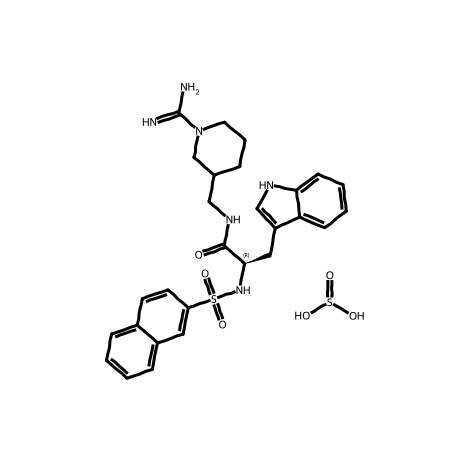 N=C(N)N1CCCC(CNC(=O)[C@@H](Cc2c[nH]c3ccccc23)NS(=O)(=O)c2ccc3ccccc3c2)C1.O=S(O)O